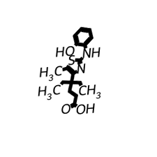 CCC(CC)(CCC(=O)O)c1nc(Nc2ccccc2O)sc1C